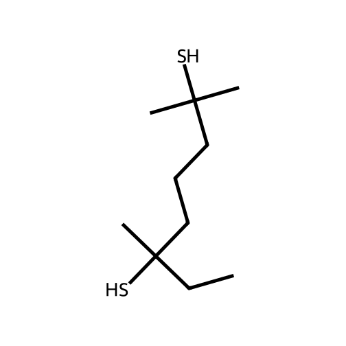 CCC(C)(S)CCCC(C)(C)S